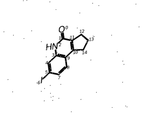 O=c1[nH]c2cc(I)ccc2c2c1CCC2